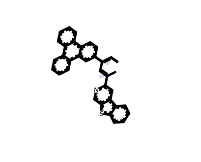 C/C=C(\C=C(/C)c1cc2c(cn1)sc1ccccc12)c1ccc2c3ccccc3c3ccccc3c2c1